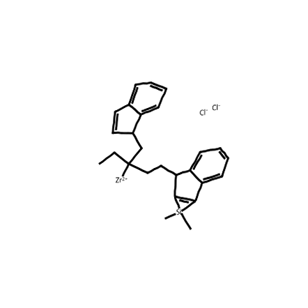 CC[C]([Zr+2])(CCC1C2=C(c3ccccc31)[Si]2(C)C)CC1C=Cc2ccccc21.[Cl-].[Cl-]